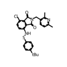 Cc1ccc(CN2C(=O)c3c(Cl)ccc(NSc4ccc(C(C)(C)C)cc4)c3C2=O)c(C)n1